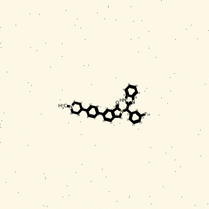 CN1CCC(c2ccc(-c3ccc4c(c3)C(=O)N(C(c3cccc(F)c3)c3nc5ccccc5[nH]3)C4)cc2)CC1